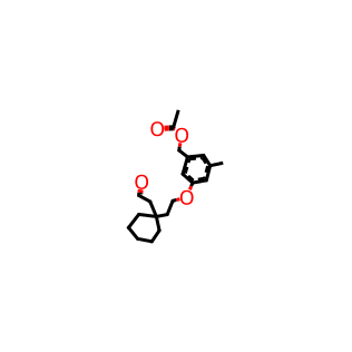 CC(=O)OCc1cc(C)cc(OCCC2(CC=O)CCCCC2)c1